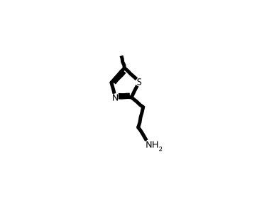 Cc1cnc(CCN)s1